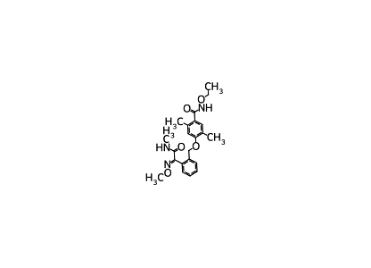 CCONC(=O)c1cc(C)c(OCc2ccccc2/C(=N\OC)C(=O)NC)cc1C